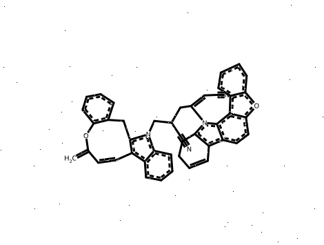 C=C1/C=C\c2c(n(CC(C#N)C/C(=C/C#N)n3c4c(c5ccc6oc7ccccc7c6c53)C=CCC4)c3ccccc23)Cc2ccccc2O1